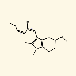 CC/C=C\C(Br)=C/c1c2c(n(C)c1C)CCC(OC)C2